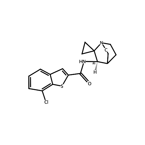 O=C(N[C@@H]1C2CCN(CC2)C12CC2)c1cc2cccc(Cl)c2s1